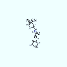 N#Cc1cc(/C=C/C(=O)OCc2ccccc2)ccc1F